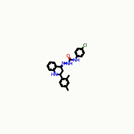 Cc1ccc(C2CC(=NNC(=O)Nc3ccc(Cl)cc3)c3ccccc3N2)c(C)c1